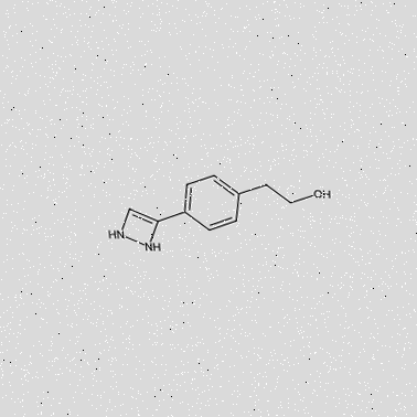 OCCc1ccc(-c2c[nH][nH]2)cc1